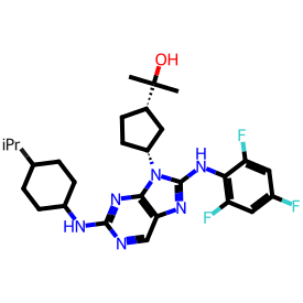 CC(C)C1CCC(Nc2ncc3nc(Nc4c(F)cc(F)cc4F)n([C@@H]4CC[C@H](C(C)(C)O)C4)c3n2)CC1